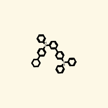 c1ccc([SH](c2ccccc2)c2ccc(-c3cccc([SH](c4ccccc4)c4ccc(C5CCCCC5)cc4)c3)cc2)cc1